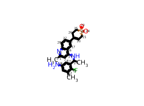 Cc1cc(NC(C)c2cc(N)cc(C)c2F)c2cc(C3=CCS(=O)(=O)CC3)ccc2n1